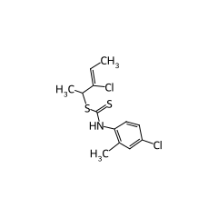 CC=C(Cl)C(C)SC(=S)Nc1ccc(Cl)cc1C